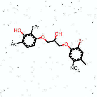 CCCc1c(OCC(O)COc2cc([N+](=O)[O-])c(C)cc2Br)ccc(C(C)=O)c1O